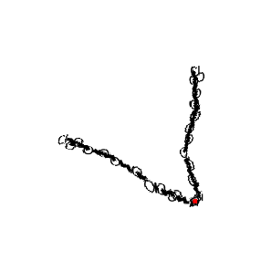 C[Si](C)(CCCOCCOCCOCCOCCOCCOCCOCCOCCOC(=O)CCl)O[Si](C)(C)CCCOOCCOCCOCCOCCCCOCCOCCOCCOC(=O)CCl